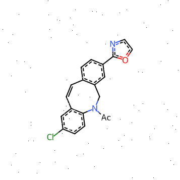 CC(=O)N1Cc2cc(-c3ncco3)ccc2C=Cc2cc(Cl)ccc21